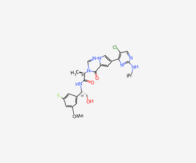 COc1cc(F)cc([C@@H](CO)NC(=O)[C@@H](C)n2cnn3cc(-c4nc(NC(C)C)ncc4Cl)cc3c2=O)c1